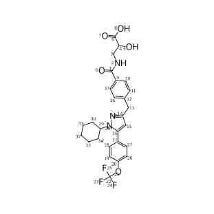 O=C(NCC(O)C(=O)O)c1ccc(Cc2cc(-c3ccc(OC(F)(F)F)cc3)n(C3CCCCC3)n2)cc1